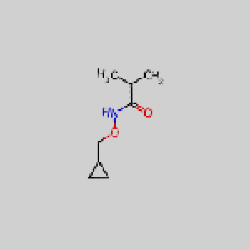 CC(C)C(=O)NOCC1CC1